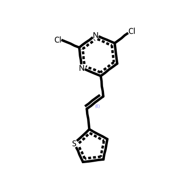 Clc1cc(/C=C/c2cccs2)nc(Cl)n1